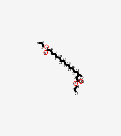 CCCOC(=O)CCCCCCCCCCCCCC(C)CC(=O)OCCC